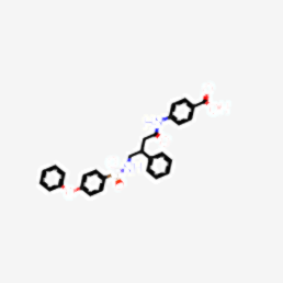 O=C(CC(CNS(=O)(=O)c1ccc(Oc2ccccc2)cc1)c1ccccc1)Nc1ccc(C(=O)O)cc1